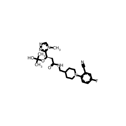 Cn1cnnc1[C@@H](CC(=O)NCC1CCN(c2ccc(F)cc2C#N)CC1)OC(C)(C)O